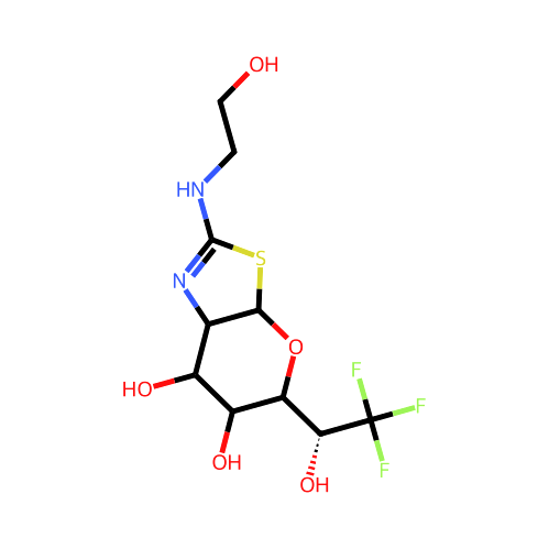 OCCNC1=NC2C(OC([C@@H](O)C(F)(F)F)C(O)C2O)S1